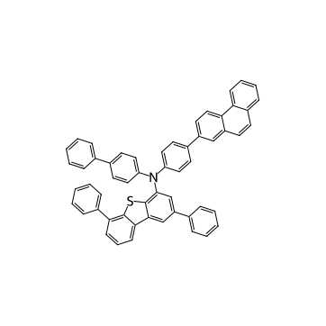 c1ccc(-c2ccc(N(c3ccc(-c4ccc5c(ccc6ccccc65)c4)cc3)c3cc(-c4ccccc4)cc4c3sc3c(-c5ccccc5)cccc34)cc2)cc1